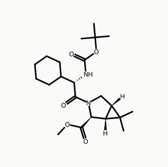 COC(=O)[C@@H]1[C@@H]2[C@H](CN1C(=O)[C@@H](NC(=O)OC(C)(C)C)C1CCCCC1)C2(C)C